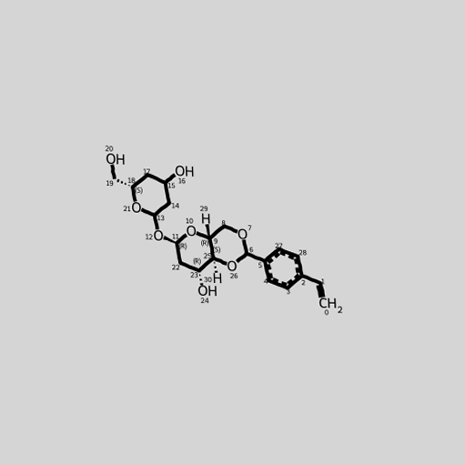 C=Cc1ccc(C2OC[C@H]3O[C@H](OC4CC(O)C[C@@H](CO)O4)C[C@@H](O)[C@@H]3O2)cc1